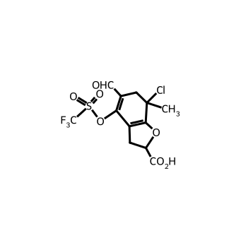 CC1(Cl)CC(C=O)=C(OS(=O)(=O)C(F)(F)F)C2=C1OC(C(=O)O)C2